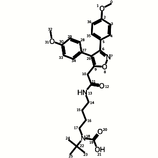 COc1ccc(-c2noc(CC(=O)NCCCCN(C(=O)O)C(C)(C)C)c2-c2ccc(OC)cc2)cc1